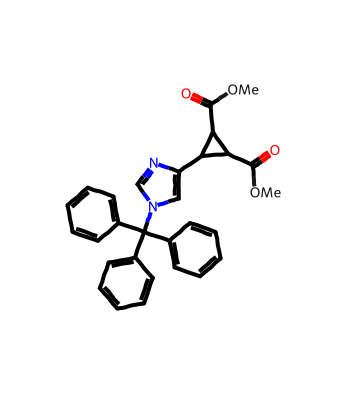 COC(=O)C1C(C(=O)OC)C1c1cn(C(c2ccccc2)(c2ccccc2)c2ccccc2)cn1